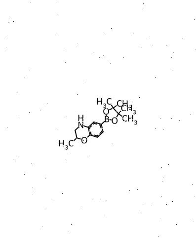 CC1CNc2cc(B3OC(C)(C)C(C)(C)O3)ccc2O1